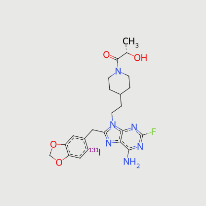 C[C@H](O)C(=O)N1CCC(CCn2c(Cc3cc4c(cc3[131I])OCO4)nc3c(N)nc(F)nc32)CC1